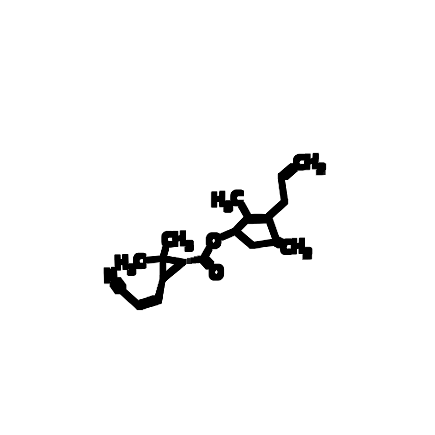 C=CCC1=C(C)C(OC(=O)[C@@H]2[C@@H](/C=C\C#N)C2(C)C)CC1=C